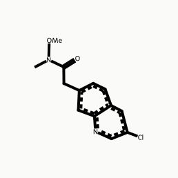 CON(C)C(=O)Cc1ccc2cc(Cl)cnc2c1